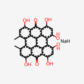 Cc1cc(O)c2c(=O)c3c(O)cc(O)c4c5c(O)cc(O)c6c(=O)c7c(O)cc(C)c8c1c2c(c34)c(c78)c65.[NaH]